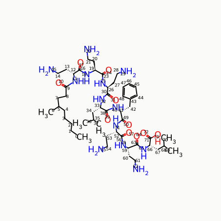 CCCCCC(C)CCC(=O)N[C@H](CCN)C(=O)N[C@@H](CCN)C(=O)N[C@@H](CCN)C(=O)N[C@@H](CC(C)C)C(=O)N[C@H](Cc1ccccc1)C(=O)N[C@@H](CCN)C(=O)N[C@@H](CCN)C(=O)N[C@@H](CC(C)C)C(=O)O